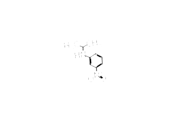 CC(C)Nc1cccc([N+](=O)[O-])c1